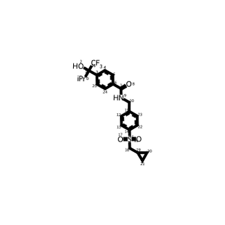 CC(C)C(O)(c1ccc(C(=O)NCc2ccc(S(=O)(=O)CC3CC3)cc2)cc1)C(F)(F)F